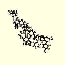 CC1(C)CC(c2ccc(Cl)cc2)=C(CN2CCN(c3ccc(C(=O)NS(=O)(=O)c4ccc(NC[C@H]5C[C@@](O)(CF)C5)c([NH+]([O-])O)c4)c(N4CCCOc5nc6[nH]ccc6cc54)c3)CC2C2CCCCO2)[C@H](O)C1